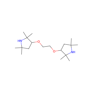 CC1(C)CC(OCCOC2CC(C)(C)NC2(C)C)C(C)(C)N1